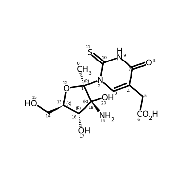 C[C@@]1(n2cc(CC(=O)O)c(=O)[nH]c2=S)O[C@H](CO)[C@@H](O)[C@@]1(N)O